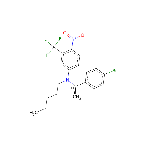 CCCCCN(c1ccc([N+](=O)[O-])c(C(F)(F)F)c1)[C@H](C)c1ccc(Br)cc1